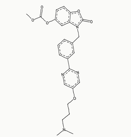 COC(=O)Oc1ccc2oc(=O)n(Cc3cccc(-c4ncc(OCCCN(C)C)cn4)c3)c2c1